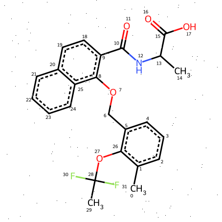 Cc1cccc(COc2c(C(=O)NC(C)C(=O)O)ccc3ccccc23)c1OC(C)(F)F